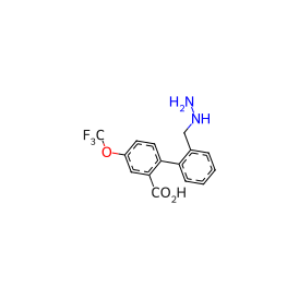 NNCc1ccccc1-c1ccc(OC(F)(F)F)cc1C(=O)O